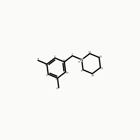 Cc1cc(C)cc(CN2CC[CH]CC2)c1